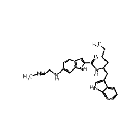 CCCCC(Cc1c[nH]c2ccccc12)NC(=O)c1cc2ccc(NCCNC)cc2[nH]1